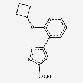 CCOC(=O)c1cc(-c2ccccc2OC2CCC2)on1